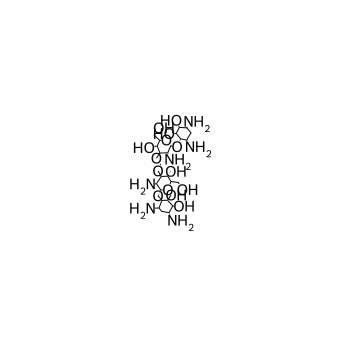 NC1C(OCOC2C(N)[C@H](O[C@H]3C(N)C[C@H](N)C(O)C3O)OC(CO)[C@@H]2O)[C@H](O)C(CO)O[C@@H]1O[C@@H]1C(N)C[C@@H](N)C(O)C1O